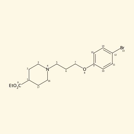 CCOC(=O)C1CCN(CCCOc2ccc(Br)cc2)CC1